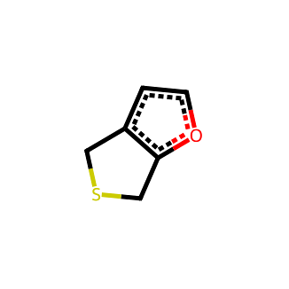 c1cc2c(o1)CSC2